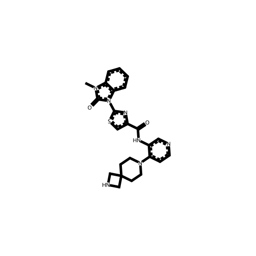 Cn1c(=O)n(-c2nc(C(=O)Nc3cnccc3N3CCC4(CC3)CNC4)cs2)c2ccccc21